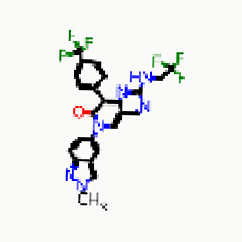 Cn1cc2cc(-n3cc4cnc(NCC(F)(F)F)nc4c(-c4ccc(C(F)(F)F)cc4)c3=O)ccc2n1